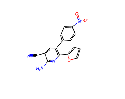 N#Cc1cc(-c2ccc([N+](=O)[O-])cc2)c(-c2ccco2)nc1N